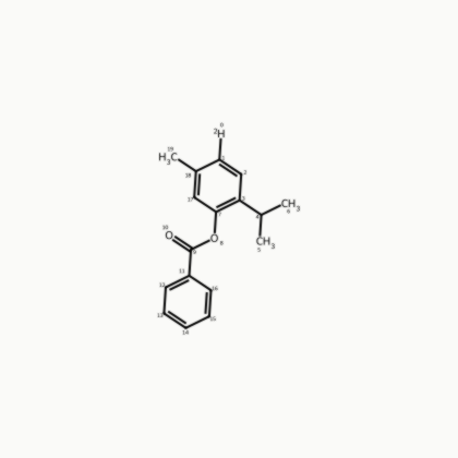 [2H]c1cc(C(C)C)c(OC(=O)c2ccccc2)cc1C